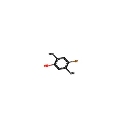 CCC(C)c1cc(O)c(C(C)(C)C)cc1Br